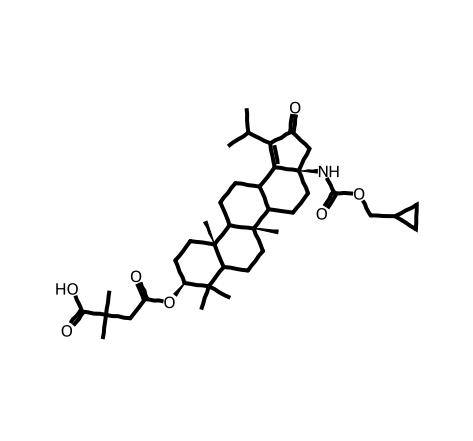 CC(C)C1=C2C3CCC4[C@@](C)(CCC5C(C)(C)[C@@H](OC(=O)CC(C)(C)C(=O)O)CC[C@@]54C)C3CC[C@@]2(NC(=O)OCC2CC2)CC1=O